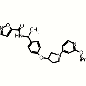 CC(C)Oc1cc(N2CCC(Oc3ccc([C@H](C)NC(=O)c4ccno4)cc3)C2)ccn1